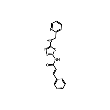 O=C(C=Cc1ccccc1)Nc1nnc(NCc2ccccn2)s1